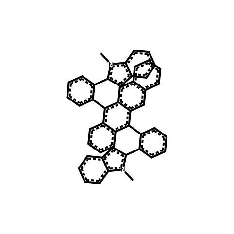 Cn1c(-c2ccccc2-c2c3ccccc3c(-c3ccccc3-c3cc4ccccc4n3C)c3cc4ccccc4cc23)cc2ccccc21